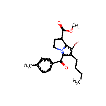 CCCCc1c(Br)c2n(c1C(=O)c1ccc(C)cc1)CCC2C(=O)OC